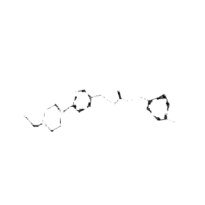 CCN1CCN(c2ccc(CNC(=O)NCc3ccc(F)cc3)cn2)CC1